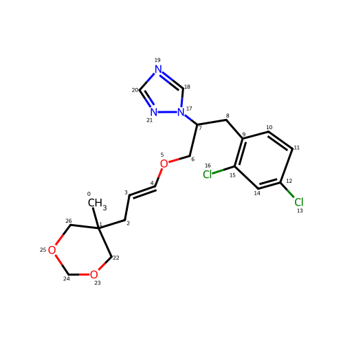 CC1(CC=COCC(Cc2ccc(Cl)cc2Cl)n2cncn2)COCOC1